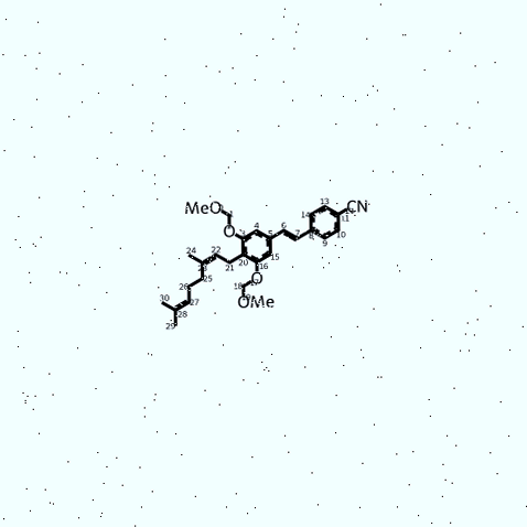 COCOc1cc(C=Cc2ccc(C#N)cc2)cc(OCOC)c1CC=C(C)CCC=C(C)C